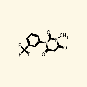 CN1C(=O)CC(=O)N(c2cccc(C(F)(F)F)c2)C1=O